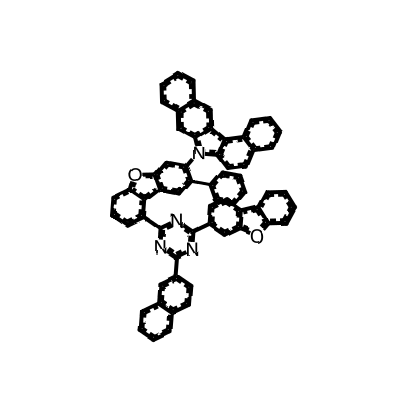 c1ccc(-c2cc3c(cc2-n2c4cc5ccccc5cc4c4c5ccccc5ccc42)oc2cccc(-c4nc(-c5ccc6ccccc6c5)nc(-c5ccc6c(c5)oc5ccccc56)n4)c23)cc1